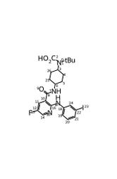 CC(C)(C)N(C(=O)O)C1CCC(NC(=O)c2cc(F)cnc2Nc2cccc(I)c2)CC1